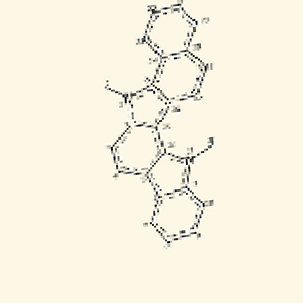 Cn1c2ccc3c4ccccc4n(C)c3c2c2ccc3ccccc3c21